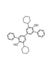 Oc1c(-c2ccccc2)cc(-c2cc(-c3ccccc3)c(O)c(C3CCCCC3)c2)cc1C1CCCCC1